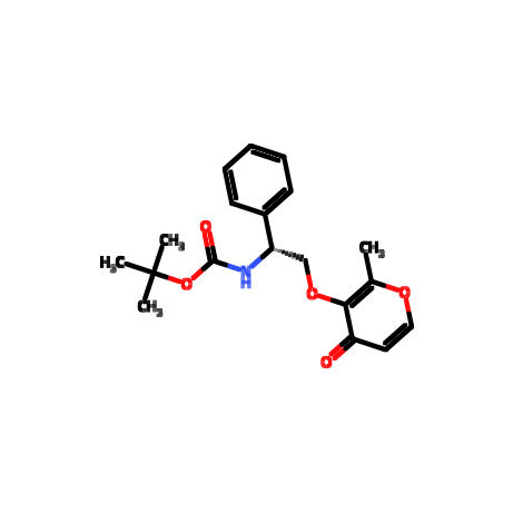 Cc1occc(=O)c1OC[C@H](NC(=O)OC(C)(C)C)c1ccccc1